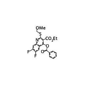 CCOC(=O)c1c(SCOC)nc2cc(F)c(F)cc2c1OC(=O)c1ccccc1